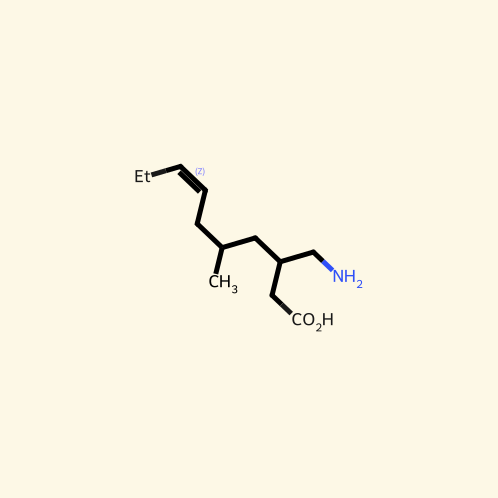 CC/C=C\CC(C)CC(CN)CC(=O)O